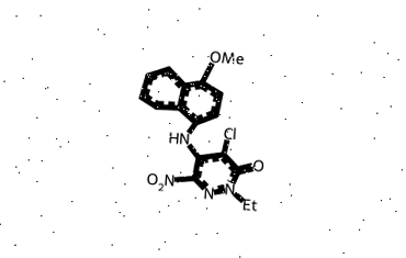 CCn1nc([N+](=O)[O-])c(Nc2ccc(OC)c3ccccc23)c(Cl)c1=O